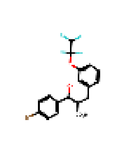 O=C(O)C(Cc1cccc(OC(F)(F)C(F)F)c1)C(O)c1ccc(Br)cc1